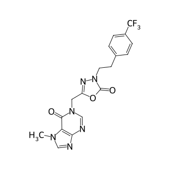 Cn1cnc2ncn(Cc3nn(CCc4ccc(C(F)(F)F)cc4)c(=O)o3)c(=O)c21